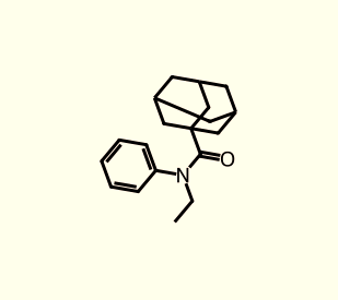 CCN(C(=O)C12CC3CC(CC(C3)C1)C2)c1ccccc1